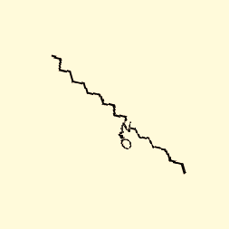 CCCCCCCCCCCCN(C=O)CCCCCCCC